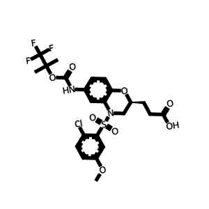 COc1ccc(Cl)c(S(=O)(=O)N2C[C@H](CCC(=O)O)Oc3ccc(NC(=O)OC(C)(C)C(F)(F)F)cc32)c1